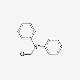 O=C[N+](c1ccccc1)c1ccccc1